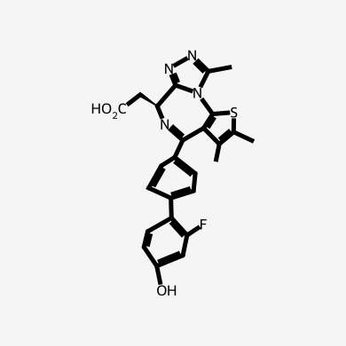 Cc1sc2c(c1C)C(c1ccc(-c3ccc(O)cc3F)cc1)=N[C@@H](CC(=O)O)c1nnc(C)n1-2